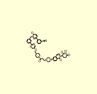 N#Cc1cccc(-c2ccc(=O)n(Cc3cccc(-c4ncc(OCC5CCN(C(=O)CCN6CCN(c7ccc8c(=O)n(C9CCC(=O)NC9=O)ncc8c7)CC6)CC5)cn4)c3)n2)c1